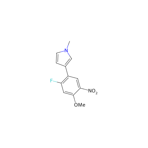 COc1cc(F)c(-c2ccn(C)c2)cc1[N+](=O)[O-]